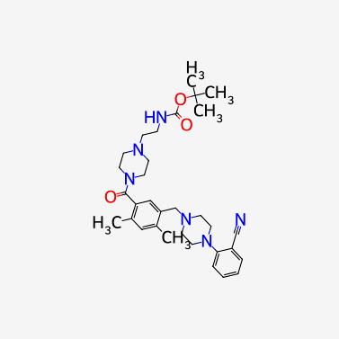 Cc1cc(C)c(C(=O)N2CCN(CCNC(=O)OC(C)(C)C)CC2)cc1CN1CCN(c2ccccc2C#N)CC1